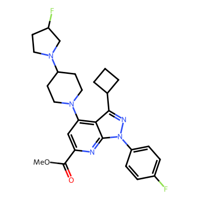 COC(=O)c1cc(N2CCC(N3CCC(F)C3)CC2)c2c(C3CCC3)nn(-c3ccc(F)cc3)c2n1